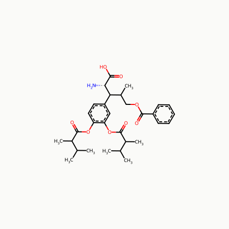 CC(C)C(C)C(=O)Oc1ccc(C(C(C)COC(=O)c2ccccc2)[C@H](N)C(=O)O)cc1OC(=O)C(C)C(C)C